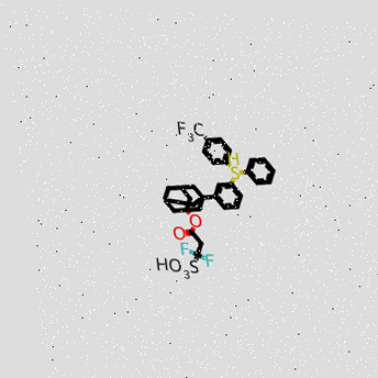 O=C(CC(F)(F)S(=O)(=O)O)OC12CC3CC(C1)CC(c1cccc([SH](c4ccccc4)c4ccc(C(F)(F)F)cc4)c1)(C3)C2